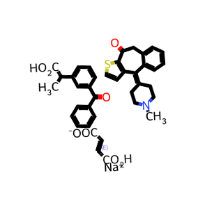 CC(C(=O)O)c1cccc(C(=O)c2ccccc2)c1.CN1CCC(=C2c3ccccc3CC(=O)c3sccc32)CC1.O=C([O-])/C=C/C(=O)O.[Na+]